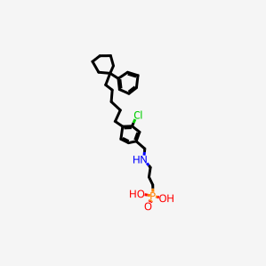 O=P(O)(O)CCCNCc1ccc(CCCCCC2(c3ccccc3)CCCCC2)c(Cl)c1